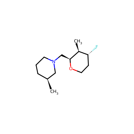 C[C@H]1CCCN(C[C@@H]2OCC[C@@H](F)[C@@H]2C)C1